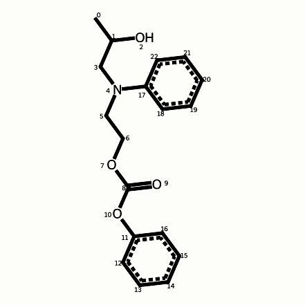 CC(O)CN(CCOC(=O)Oc1ccccc1)c1ccccc1